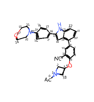 CC(=O)N1CC(Oc2ccc(-c3cccc4[nH]c(-c5ccc(N6CCOCC6)cc5)cc34)cc2C#N)C1